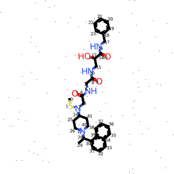 CSN(CC(=O)NCC(=O)NCC(O)C(=O)NCc1ccccc1)C1CCN(C(C)c2cccc3ccccc23)CC1